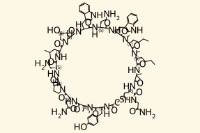 CCCC[C@H]1C(=O)N(C)[C@@H](CCCC)C(=O)NC(C)(C)C(=O)N[C@H](C(=O)NCC(N)=O)CSCC(=O)N[C@@H](Cc2ccc(O)cc2)C(=O)N(C)[C@@H](C)C(=O)N[C@@H](CC(N)=O)C(=O)N2CCC[C@H]2C(=O)N[C@@H](CN)C(=O)N[C@@H](CC(C)C)C(=O)N2C[C@H](O)C[C@H]2C(=O)NC(Cc2c[nH]c3ccccc23)C(=O)N[C@@H](CCN)C(=O)N[C@@H](Cc2c[nH]c3ccccc23)C(=O)N1C